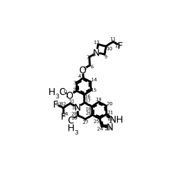 COc1cc(OCCN2CC(CF)C2)ccc1C1c2ccc3[nH]ncc3c2C[C@@H](C)N1CC(F)F